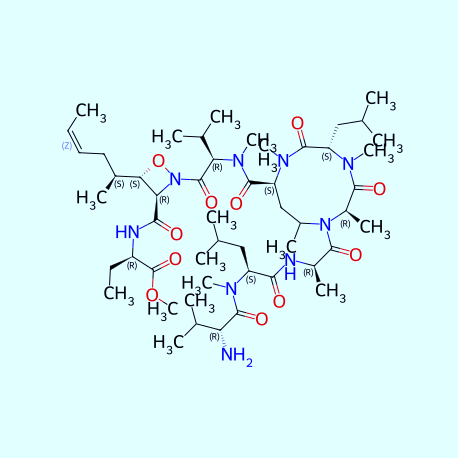 C/C=C\C[C@H](C)[C@@H]1ON(C(=O)[C@@H](C(C)C)N(C)C(=O)[C@@H]2CC(C)N(C(=O)[C@@H](C)NC(=O)[C@H](CC(C)C)N(C)C(=O)[C@H](N)C(C)C)[C@H](C)C(=O)N(C)[C@@H](CC(C)C)C(=O)N2C)[C@H]1C(=O)N[C@H](CC)C(=O)OC